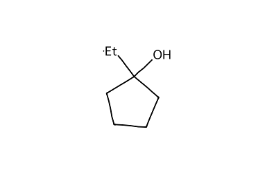 C[CH]C1(O)CCCC1